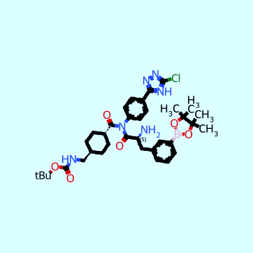 CC(C)(C)OC(=O)NC[C@H]1CC[C@H](C(=O)N(C(=O)[C@@H](N)Cc2cccc(B3OC(C)(C)C(C)(C)O3)c2)c2ccc(-c3nnc(Cl)[nH]3)cc2)CC1